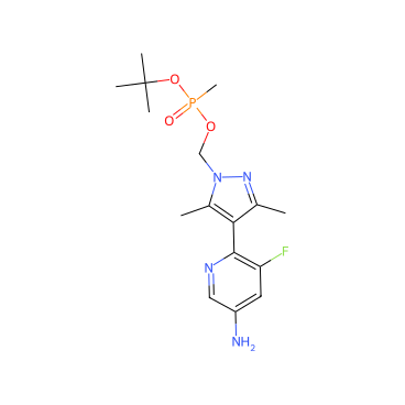 Cc1nn(COP(C)(=O)OC(C)(C)C)c(C)c1-c1ncc(N)cc1F